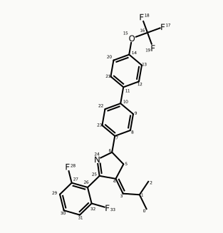 CC(C)C=C1CC(c2ccc(-c3ccc(OC(F)(F)F)cc3)cc2)N=C1c1c(F)cccc1F